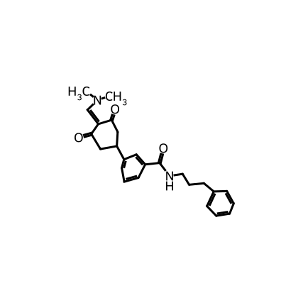 CN(C)C=C1C(=O)CC(c2cccc(C(=O)NCCCc3ccccc3)c2)CC1=O